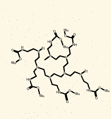 CCN(CCNC(=O)OC(C)(C)C)CCN(CCNC(=O)OC(C)(C)C)CCN(CCNC(=O)OC(C)(C)C)CCN(CCN(CC)CCNC(=O)OC(C)(C)C)CCN(CCNC(=O)OC(C)(C)C)CCN(C)CCNC(=O)OC(C)(C)C